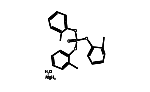 Cc1ccccc1OP(=O)(Oc1ccccc1C)Oc1ccccc1C.O.[MgH2]